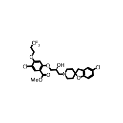 COC(=O)c1cc(Cl)c(OCCC(F)(F)F)cc1OC[C@@H](O)CN1CCC2(CC1)Cc1cc(Cl)ccc1O2